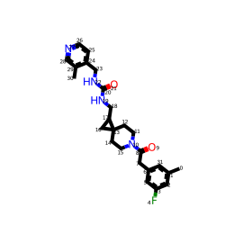 Cc1cc(F)cc(CC(=O)N2CCC3(CC2)CC3CNC(=O)NCc2ccncc2C)c1